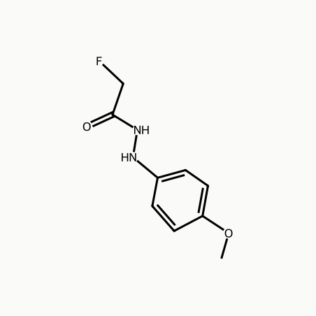 COc1ccc(NNC(=O)CF)cc1